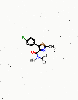 CCCN(C(=O)c1nc(C)sc1-c1ccc(F)cc1)C(CC)CC